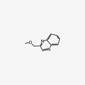 COCc1cnc2ccccc2n1